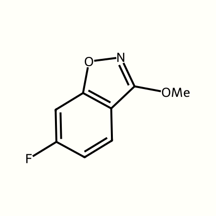 COc1noc2cc(F)ccc12